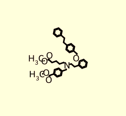 COC(=O)CCCCN(CCc1ccccc1OCc1ccc(CCc2ccccc2)cc1)Cc1ccc(C(=O)OC)cc1